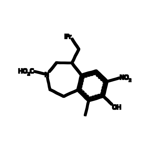 Cc1c(O)c([N+](=O)[O-])cc2c1CCN(C(=O)O)CC2CC(C)C